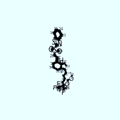 COCOC(CCC[C@@H](C)[C@H]1CC[C@H]2C(=CCS(=O)(=O)c3nc4ccccc4s3)CCC[C@]12C)(C(F)(F)F)C(F)(F)F